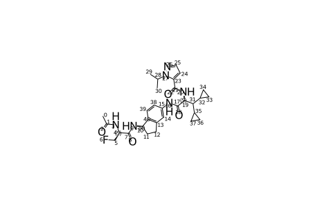 CC(=O)N[C@H](CF)C(=O)N[C@@H]1CCc2cc(NC(=O)[C@@H](NC(=O)c3ccnn3C(C)C)C(C3CC3)C3CC3)ccc21